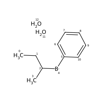 CCC(C)[B]c1ccccc1.O.O